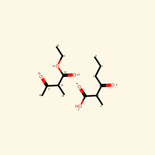 CCCC(=O)C(C)C(=O)O.CCOC(=O)C(C)C(C)=O